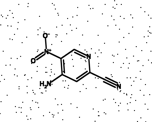 N#Cc1cc(N)c([N+](=O)[O-])cn1